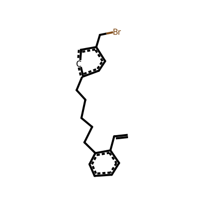 C=Cc1ccccc1CCCCCc1ccc(CBr)cc1